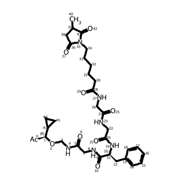 CC(=O)[C@H](OCNC(=O)CNC(=O)[C@H](Cc1ccccc1)NC(=O)CNC(=O)CNC(=O)CCCCCN1C(=O)CC(C)C1=O)C1CC1